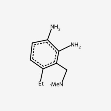 CCc1ccc(N)c(N)c1C[N]C